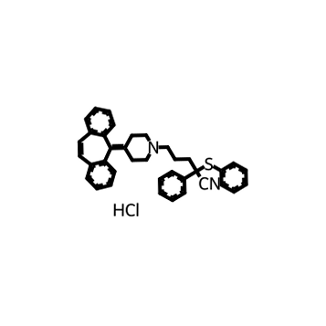 Cl.N#CC(CCCN1CCC(=C2c3ccccc3C=Cc3ccccc32)CC1)(Sc1ccccc1)c1ccccc1